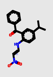 CC(C)c1ccc(N/C=C/[N+](=O)[O-])c(C(=O)c2ccccc2)c1